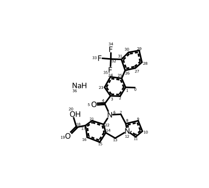 Cc1cc(C(=O)N2Cc3cccn3Cc3ccc(C(=O)O)cc32)ccc1-c1ccccc1C(F)(F)F.[NaH]